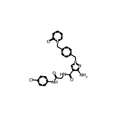 Nc1nn(Cc2ccc(Cn3ccccc3=O)cc2)cc1C(=O)NCC(=O)Nc1ccc(Cl)cc1